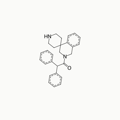 O=C(C(c1ccccc1)c1ccccc1)N1Cc2ccccc2C2(CCNCC2)C1